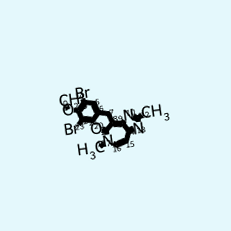 COc1c(Br)cc(Cc2c3nc(C)nc-3ccn(C)c2=O)cc1Br